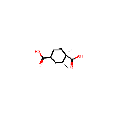 C[C@@H]1CC(C(=O)O)CC[C@@]1(C)C(=O)O